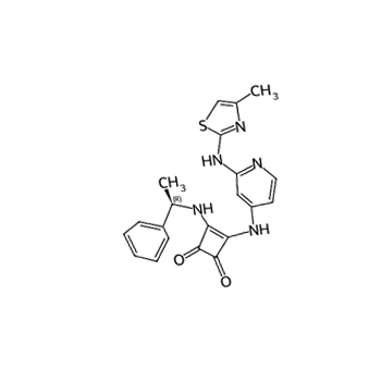 Cc1csc(Nc2cc(Nc3c(N[C@H](C)c4ccccc4)c(=O)c3=O)ccn2)n1